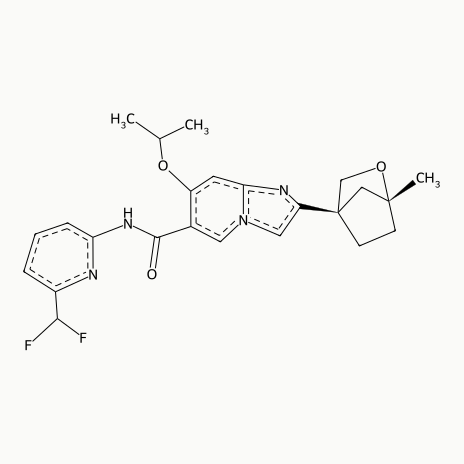 CC(C)Oc1cc2nc([C@]34CC[C@](C)(C3)OC4)cn2cc1C(=O)Nc1cccc(C(F)F)n1